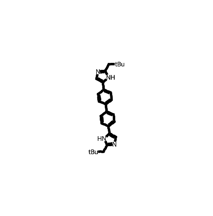 CC(C)(C)Cc1ncc(-c2ccc(-c3ccc(-c4cnc(CC(C)(C)C)[nH]4)cc3)cc2)[nH]1